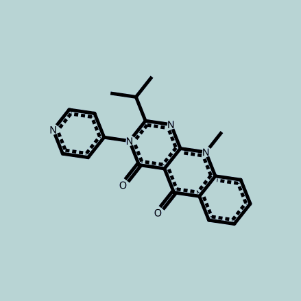 CC(C)c1nc2c(c(=O)c3ccccc3n2C)c(=O)n1-c1ccncc1